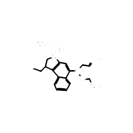 C=CCB(OCN)c1cc2c(c3ccccc13)C(CCl)CN2BOC